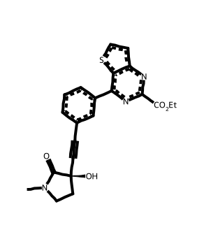 CCOC(=O)c1nc(-c2cccc(C#C[C@]3(O)CCN(C)C3=O)c2)c2sccc2n1